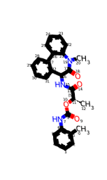 Cc1ccccc1NC(=O)O[C@@H](C)C(=O)NC1C(=O)N(C)c2ccccc2-c2ccccc21